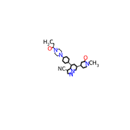 C=CC(=O)N1CCN(c2ccc(-c3cc(-c4ccn(C)c(=O)c4)cn4ncc(C#N)c34)cc2)CC1